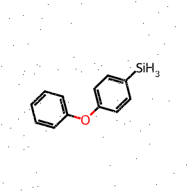 [SiH3]c1ccc(Oc2ccccc2)cc1